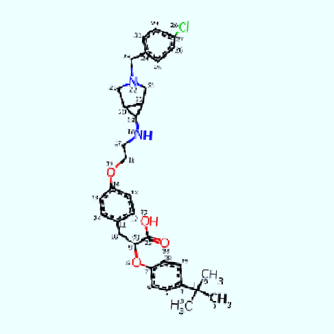 CC(C)(C)c1ccc(O[C@@H](Cc2ccc(OCCNC3C4CN(Cc5ccc(Cl)cc5)CC43)cc2)C(=O)O)cc1